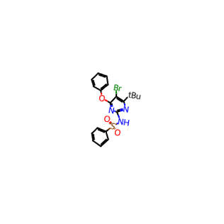 CC(C)(C)c1nc(NS(=O)(=O)c2ccccc2)nc(Oc2ccccc2)c1Br